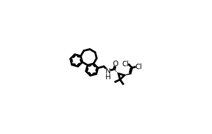 CC1(C)[C@H](C=C(Cl)Cl)[C@H]1C(=O)NCc1cccc2c1CCCCc1ccccc1-2